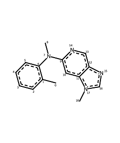 Cc1ccccc1N(C)c1cc2c(cn1)ncn2C